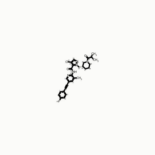 Cc1cc(C#Cc2ccc(F)cc2)cnc1NC(=O)c1c(Cl)cnn1C[C@H]1CCCN(C(=O)C(C)C)C1